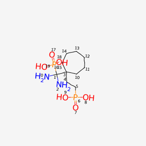 NC(N)(C1(CCP(=O)(O)O)CCCCCC1)P(=O)(O)O